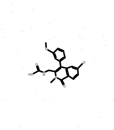 COc1cccc(-c2c(CNC(=O)O)n(C)c(=O)c3ccc(Cl)cc23)c1